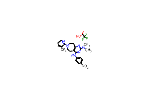 CN(C)c1nc2c(c(Nc3ccc([N+](=O)[O-])cc3)n1)CCN(c1ncccc1C(F)(F)F)CC2.O=C(O)C(F)(F)F